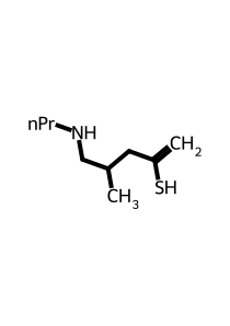 C=C(S)CC(C)CNCCC